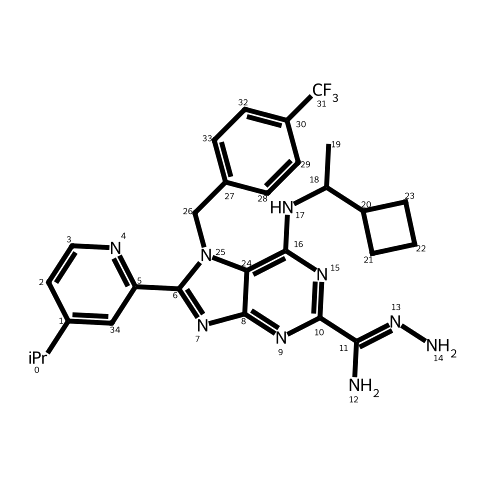 CC(C)c1ccnc(-c2nc3nc(/C(N)=N/N)nc(NC(C)C4CCC4)c3n2Cc2ccc(C(F)(F)F)cc2)c1